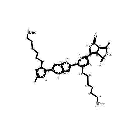 CCCCCCCCCCCCCCCCc1cc(C)sc1-c1cc2sc(-c3sc(C4=C5C(=O)SC(C)=C5C(=O)S4)cc3CCCCCCCCCCCCCCCC)cc2s1